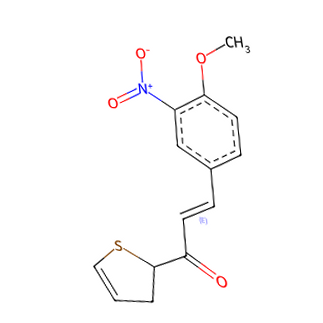 COc1ccc(/C=C/C(=O)C2CC=CS2)cc1[N+](=O)[O-]